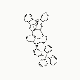 c1ccc(C2(c3ccccc3)c3ccccc3-c3c(-n4c5cccc(-c6ccc7oc8ccccc8c7c6)c5c5c(-c6ccc7oc8ccccc8c7c6)cccc54)cccc32)cc1